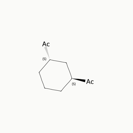 CC(=O)[C@H]1CCC[C@H](C(C)=O)C1